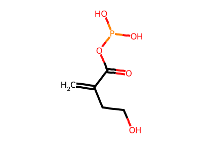 C=C(CCO)C(=O)OP(O)O